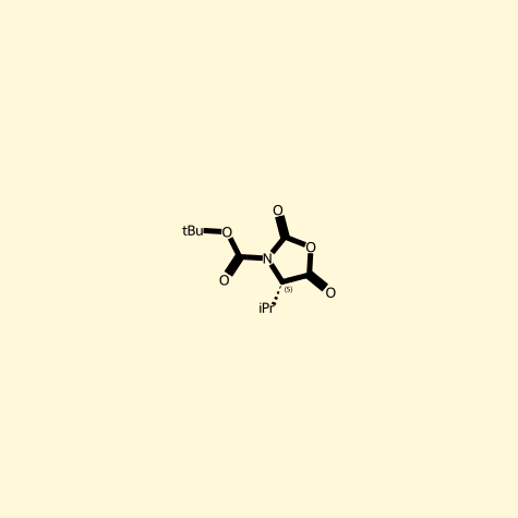 CC(C)[C@H]1C(=O)OC(=O)N1C(=O)OC(C)(C)C